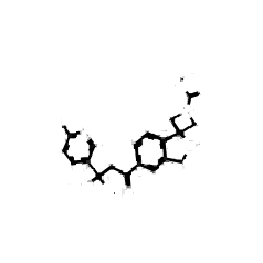 CC(C)(C)OC(=O)N1CC2(C1)OCc1cc(C(=O)CC(S)(c3ccc(Cl)nc3)C(F)(F)F)ccc12